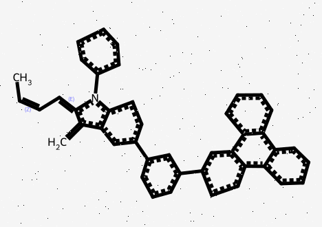 C=c1/c(=C\C=C/C)n(-c2ccccc2)c2ccc(-c3cccc(-c4ccc5c6ccccc6c6ccccc6c5c4)c3)cc12